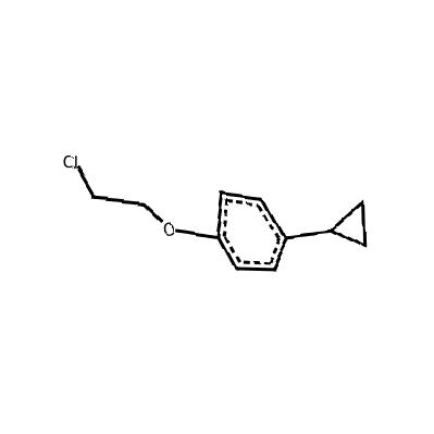 ClCCOc1ccc(C2CC2)cc1